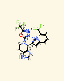 FC(F)c1cccc2cc([C@H]3c4nc[nH]c4CCN3c3nnc(C(F)(F)F)o3)nn12